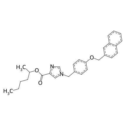 CCCCC(C)OC(=O)c1cn(Cc2ccc(OCc3ccc4ccccc4c3)cc2)cn1